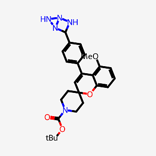 COc1cccc2c1C(c1ccc(C3Nn4[nH]n43)cc1)=CC1(CCN(C(=O)OC(C)(C)C)CC1)O2